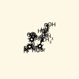 C[S+](C)C.N#Cc1cc(Br)c(O)c(Br)c1.O=C(O)CNCP(=O)([O-])O.O=C(O)c1cc(Oc2ccc(C(F)(F)F)cc2Cl)ccc1[N+](=O)[O-]